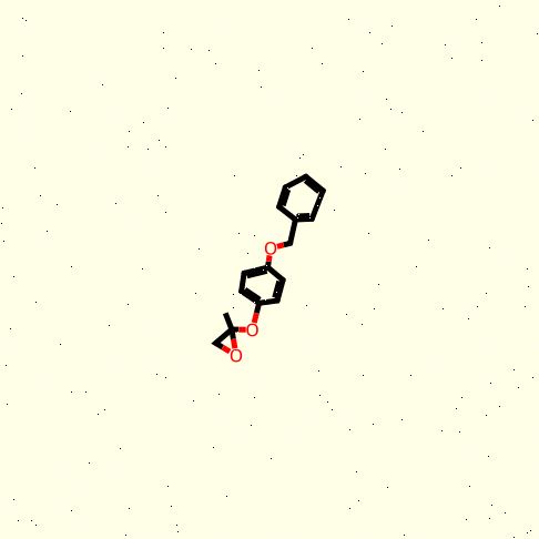 CC1(Oc2ccc(OCc3ccccc3)cc2)CO1